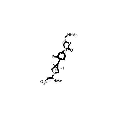 CN/C(=C\[N+](=O)[O-])N1C[C@@H]2C(c3ccc(N4C[C@H](CNC(C)=O)OC4=O)cc3F)[C@@H]2C1